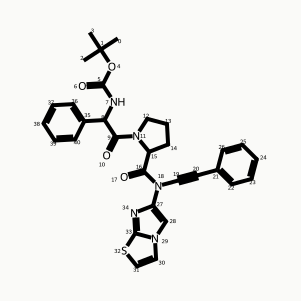 CC(C)(C)OC(=O)NC(C(=O)N1CCCC1C(=O)N(C#Cc1ccccc1)c1cn2ccsc2n1)c1ccccc1